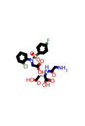 NCC(=O)N[C@@H](CC(=O)O)C(=O)O.O=C(O)CN(c1ccccc1Cl)S(=O)(=O)c1ccc(F)cc1